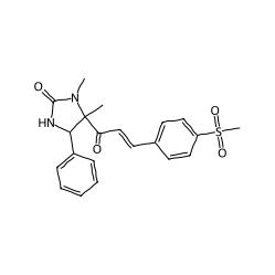 CN1C(=O)NC(c2ccccc2)C1(C)C(=O)C=Cc1ccc(S(C)(=O)=O)cc1